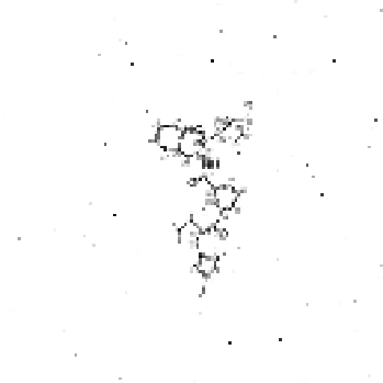 Cc1csc([C@H]2CCCN2C(=O)c2cccc(C(=O)N[C@@H](Cc3ccccc3)[C@@H](O)[C@H]3CC[C@@H](C)N3)c2)n1